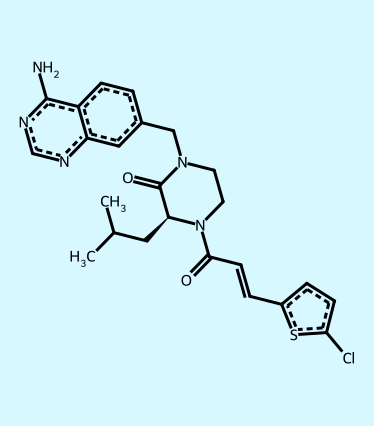 CC(C)C[C@H]1C(=O)N(Cc2ccc3c(N)ncnc3c2)CCN1C(=O)C=Cc1ccc(Cl)s1